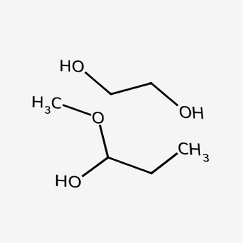 CCC(O)OC.OCCO